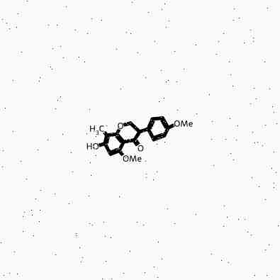 COc1ccc(C2COc3c(C)c(O)cc(OC)c3C2=O)cc1